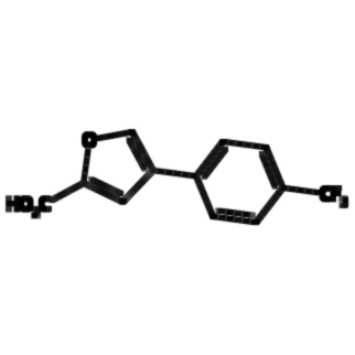 O=C(O)c1cc(-c2ccc(C(F)(F)F)cc2)co1